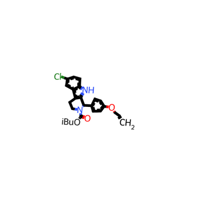 C=CCOc1ccc(C2c3[nH]c4ccc(Cl)cc4c3CCN2C(=O)OCC(C)C)cc1